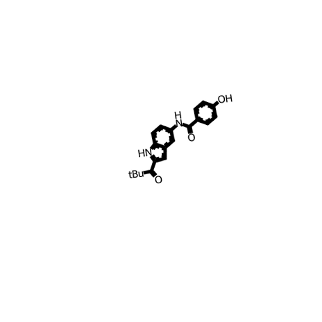 CC(C)(C)C(=O)c1cc2cc(NC(=O)c3ccc(O)cc3)ccc2[nH]1